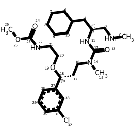 CNC[C@H](CC1CCCCC1)NC(=O)N(C)CC[C@@H](OCCNC(=O)OC)c1cccc(Cl)c1